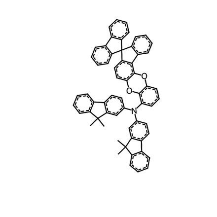 CC1(C)c2ccccc2-c2ccc(N(c3ccc4c(c3)C(C)(C)c3ccccc3-4)c3cccc4c3Oc3ccc5c(c3O4)-c3ccccc3C53c4ccccc4-c4ccccc43)cc21